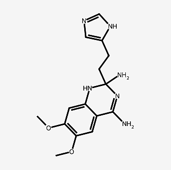 COc1cc2c(cc1OC)C(N)=NC(N)(CCc1cnc[nH]1)N2